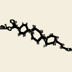 CC(C)(C)OC(=O)N1CCC(N2CCC(N3CCN(CCO)CC3)CC2)CC1